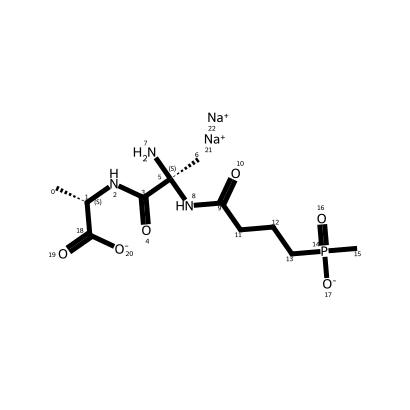 C[C@H](NC(=O)[C@@](C)(N)NC(=O)CCCP(C)(=O)[O-])C(=O)[O-].[Na+].[Na+]